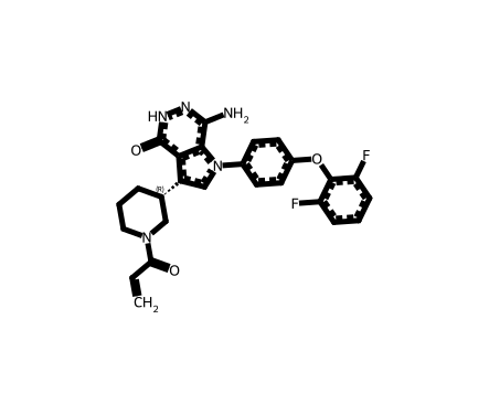 C=CC(=O)N1CCC[C@H](c2cn(-c3ccc(Oc4c(F)cccc4F)cc3)c3c(N)n[nH]c(=O)c23)C1